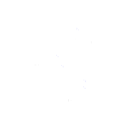 CCc1ccc(C(C)CCC(CCC(C)c2cnc(C(C)C)s2)c2ncc(C(C)C)cn2)nn1